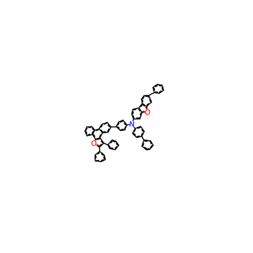 c1ccc(-c2ccc(N(c3ccc(-c4ccc5c6ccccc6c6oc(-c7ccccc7)c(-c7ccccc7)c6c5c4)cc3)c3ccc4c(c3)oc3cc(-c5ccccc5)ccc34)cc2)cc1